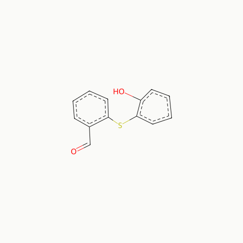 O=Cc1ccccc1Sc1ccccc1O